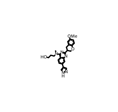 COc1ccc2c(c1)CC(c1nc(N(C)CCCO)c3ccc(-c4cn[nH]c4)cc3n1)CO2